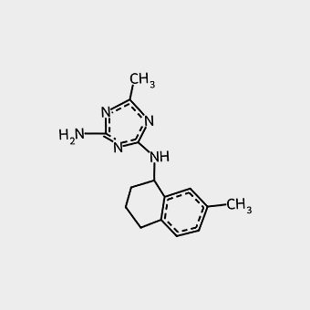 Cc1ccc2c(c1)C(Nc1nc(C)nc(N)n1)CCC2